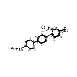 CCCCCC1CCC(c2ccc(-c3ccc(CC)cc3[N+](=O)[O-])cc2)CC1